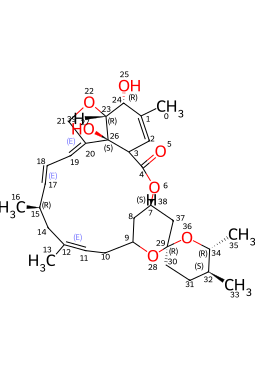 CC1=CC2C(=O)O[C@H]3CC(C/C=C(\C)C[C@@H](C)/C=C/C=C4\CO[C@H]([C@@H]1O)[C@@]42O)O[C@@]1(CC[C@H](C)[C@@H](C)O1)C3